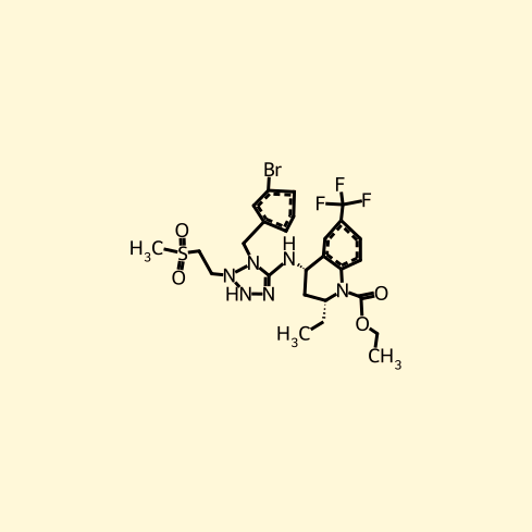 CCOC(=O)N1c2ccc(C(F)(F)F)cc2[C@@H](NC2=NNN(CCS(C)(=O)=O)N2Cc2cccc(Br)c2)C[C@H]1CC